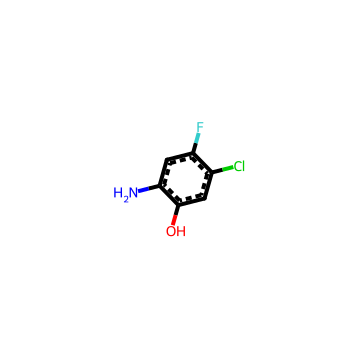 Nc1cc(F)c(Cl)cc1O